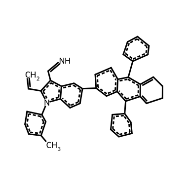 C=Cc1c(C=N)c2cc(-c3ccc4c(-c5ccccc5)c5c(c(-c6ccccc6)c4c3)=CCCC=5)ccc2n1-c1cccc(C)c1